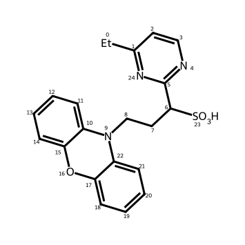 CCc1ccnc(C(CCN2c3ccccc3Oc3ccccc32)S(=O)(=O)O)n1